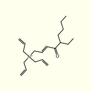 C=CC[N+](CC=C)(CC=C)CC=CC(=O)C(CC)CCCC